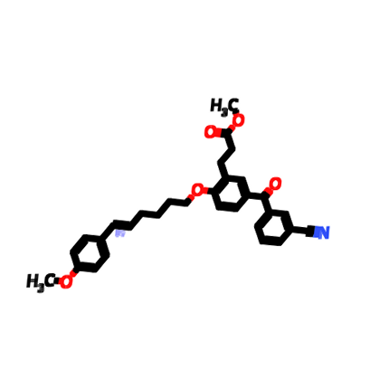 COC(=O)CCc1cc(C(=O)c2cccc(C#N)c2)ccc1OCCCC/C=C/c1ccc(OC)cc1